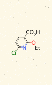 CCOc1nc(Cl)ccc1C(=O)O